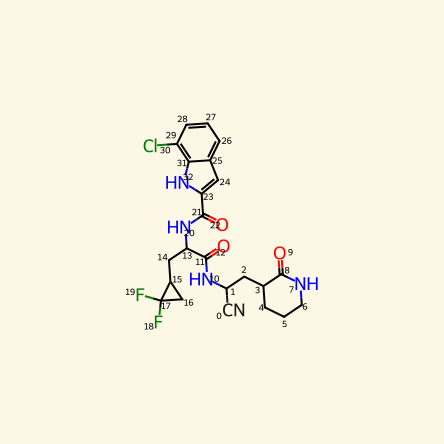 N#CC(CC1CCCNC1=O)NC(=O)C(CC1CC1(F)F)NC(=O)c1cc2cccc(Cl)c2[nH]1